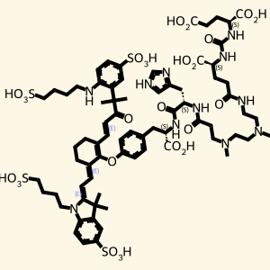 CN(CCNC(=O)CC[C@H](NC(=O)N[C@@H](CCC(=O)O)C(=O)O)C(=O)O)CCN(C)CCC(=O)N[C@@H](Cc1c[nH]cn1)C(=O)N[C@@H](Cc1ccc(OC2=C(/C=C/C(=O)C(C)(C)c3cc(S(=O)(=O)O)ccc3NCCCCS(=O)(=O)O)CCC/C2=C\C=C2\N(CCCCS(=O)(=O)O)c3ccc(S(=O)(=O)O)cc3C2(C)C)cc1)C(=O)O